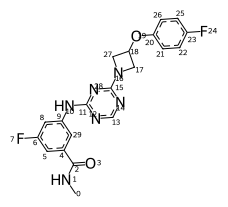 CNC(=O)c1cc(F)cc(Nc2ncnc(N3CC(Oc4ccc(F)cc4)C3)n2)c1